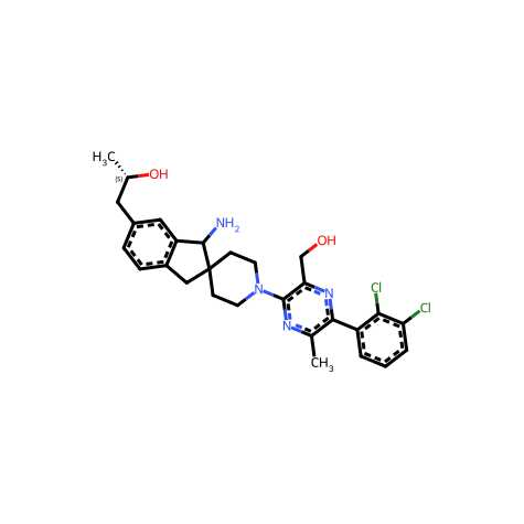 Cc1nc(N2CCC3(CC2)Cc2ccc(C[C@H](C)O)cc2C3N)c(CO)nc1-c1cccc(Cl)c1Cl